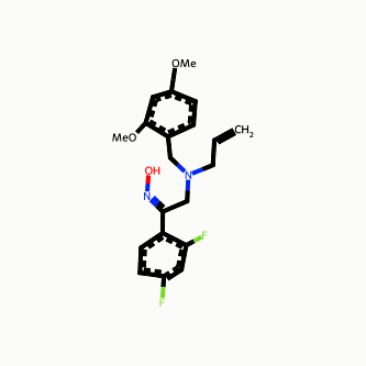 C=CCN(CC(=NO)c1ccc(F)cc1F)Cc1ccc(OC)cc1OC